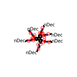 CCCCCCCCCCCCO/C=C/C(=O)Oc1cc2c3cc(OC(=O)/C=C/OCCCCCCCCCCCC)c(OC(=O)/C=C/OCCCCCCCCCCCC)cc3c3cc(OC(=O)/C=C/OCCCCCCCCCCCC)c(OC(=O)/C=C/OCCCCCCCCCCCC)cc3c2cc1OC(=O)/C=C/OCCCCCCCCCCCC